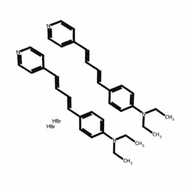 Br.Br.CCN(CC)c1ccc(C=CC=Cc2ccncc2)cc1.CCN(CC)c1ccc(C=CC=Cc2ccncc2)cc1